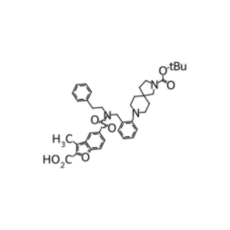 Cc1c(C(=O)O)oc2ccc(S(=O)(=O)N(CCc3ccccc3)Cc3ccccc3N3CCC4(CCN(C(=O)OC(C)(C)C)C4)CC3)cc12